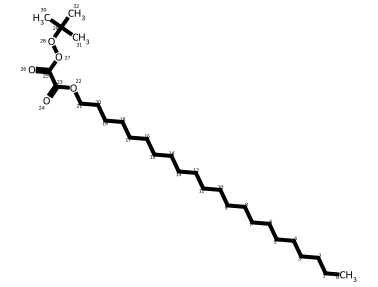 CCCCCCCCCCCCCCCCCCCCCCOC(=O)C(=O)OOC(C)(C)C